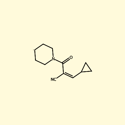 N#C/C(=C/C1CC1)C(=O)N1CC[CH]CC1